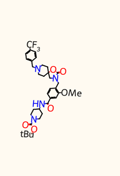 COc1cc(C(=O)NC2CCN(C(=O)OC(C)(C)C)CC2)ccc1CN1CC2(CCN(Cc3ccc(C(F)(F)F)cc3)CC2)OC1=O